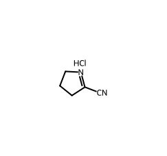 Cl.N#CC1=NCCC1